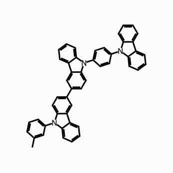 Cc1cccc(-n2c3ccccc3c3cc(-c4ccc5c(c4)c4ccccc4n5-c4ccc(-n5c6ccccc6c6ccccc65)cc4)ccc32)c1